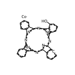 Oc1cccc2c3nc4nc(nc5[nH]c(nc6nc(nc([nH]3)c12)-c1ccccc1-6)c1ccccc51)-c1ccccc1-4.[Co]